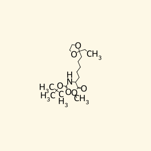 CCC1(CCCCCC(NC(=O)OC(C)(C)C)C(=O)OC)OCCO1